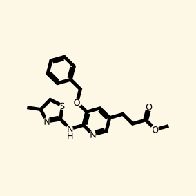 COC(=O)CCc1cnc(NC2=NC(C)CS2)c(OCc2ccccc2)c1